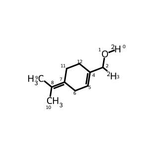 [2H]OC([2H])C1=CCC(=C(C)C)CC1